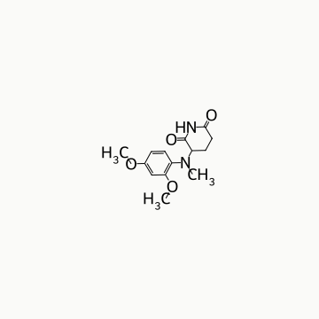 COc1ccc(N(C)C2CCC(=O)NC2=O)c(OC)c1